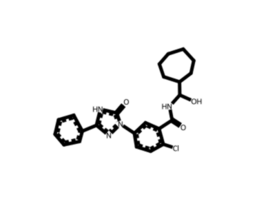 O=C(NC(O)C1CCCCCC1)c1cc(-n2nc(-c3ccccc3)[nH]c2=O)ccc1Cl